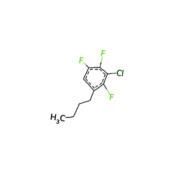 CCCCc1cc(F)c(F)c(Cl)c1F